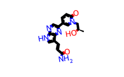 C[C@@H](O)Cn1cc(-c2cnc3[nH]cc(/C=C/C(N)=O)c3n2)ccc1=O